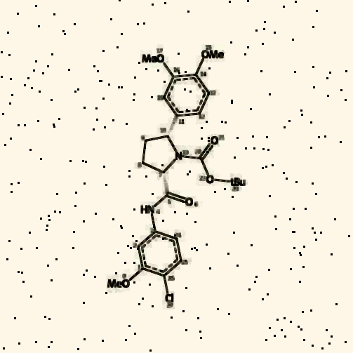 COc1cc(NC(=O)[C@@H]2CC[C@H](c3ccc(OC)c(OC)c3)N2C(=O)OC(C)(C)C)ccc1Cl